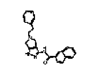 O=C(Nc1n[nH]c2c1CN(CCc1ccccc1)C2)c1ccc2ccccc2c1